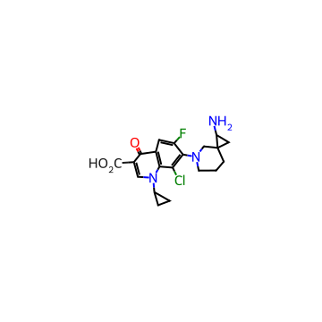 NC1CC12CCCN(c1c(F)cc3c(=O)c(C(=O)O)cn(C4CC4)c3c1Cl)C2